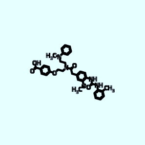 COc1cc(CC(=O)N(CCOc2ccc(C(=O)O)cc2)CCN(C)c2ccccc2)ccc1NC(=O)Nc1ccccc1C